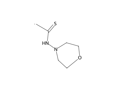 [CH2]C(=S)NN1CCOCC1